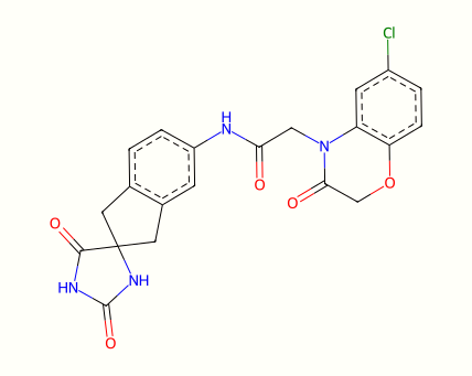 O=C(CN1C(=O)COc2ccc(Cl)cc21)Nc1ccc2c(c1)CC1(C2)NC(=O)NC1=O